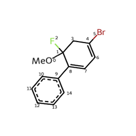 COC1(F)CC(Br)=CC=C1c1ccccc1